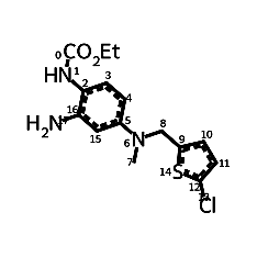 CCOC(=O)Nc1ccc(N(C)Cc2ccc(Cl)s2)cc1N